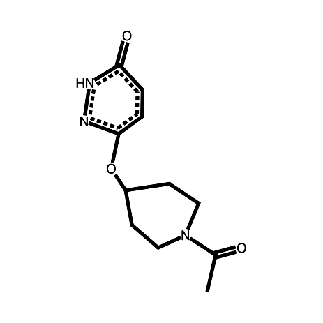 CC(=O)N1CCC(Oc2ccc(=O)[nH]n2)CC1